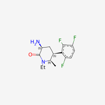 CCN1C(=O)[C@@H](N)C[C@@H](c2c(F)ccc(F)c2F)[C@H]1C